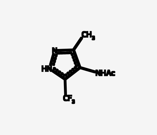 CC(=O)Nc1c(C)n[nH]c1C(F)(F)F